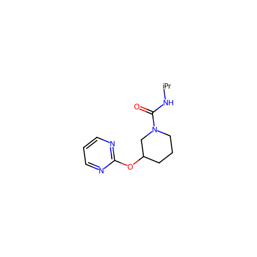 CC(C)NC(=O)N1CCCC(Oc2ncccn2)C1